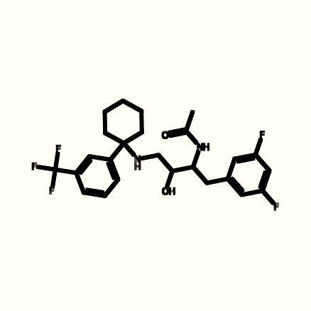 CC(=O)NC(Cc1cc(F)cc(F)c1)C(O)CNC1(c2cccc(C(F)(F)F)c2)CCCCC1